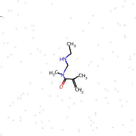 C=C(C)C(=O)N(C)CNCC